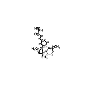 CCN1CCC[C@@H](n2c(C)nc(C)c2-c2cccc(C=CC(=O)NO)c2)C1